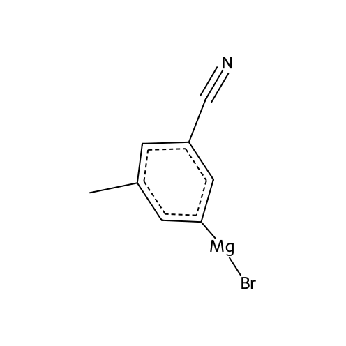 Cc1cc(C#N)c[c]([Mg][Br])c1